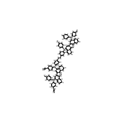 Cc1ccc(N(c2ccc(F)cc2)c2cc3c4cc(N(c5ccc(F)cc5)c5ccc(CCc6ccc(N(c7ccc(C#N)cc7)c7cc8c9cc(N(c%10ccc(C)cc%10)c%10ccc(C#N)cc%10)c%10ccccc%10c9oc8c8ccccc78)cc6)cc5)c5ccccc5c4oc3c3ccccc23)cc1